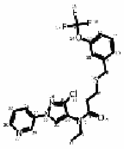 CCN(C(=O)CCSCc1cccc(OC(F)(F)F)c1)c1cn(-c2cccnc2)nc1Cl